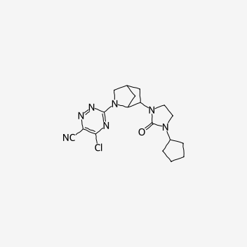 N#Cc1nnc(N2CC3CC(N4CCN(C5CCCC5)C4=O)C2C3)nc1Cl